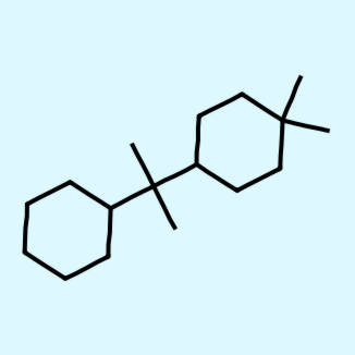 CC1(C)CCC(C(C)(C)C2CCCCC2)CC1